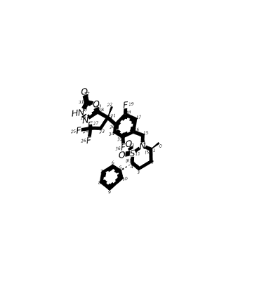 C[C@H]1CC[C@H](c2ccccc2)S(=O)(=O)N1Cc1cc(F)c([C@](C)(CC(F)(F)F)c2n[nH]c(=O)o2)cc1F